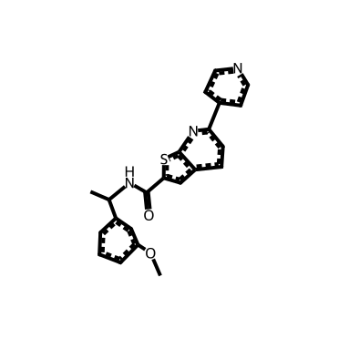 COc1cccc(C(C)NC(=O)c2cc3ccc(-c4ccncc4)nc3s2)c1